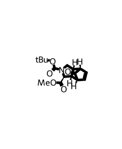 COC(=O)[C@@H]1[C@@H]2[C@H](CN1C(=O)OC(C)(C)C)[C@@H]1C=C[C@H]2C1=O